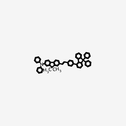 CC1(C)c2cc(/C=C/c3ccc(-c4cccc5c4-c4ccccc4C5(c4ccccc4)c4ccccc4)cc3)ccc2-c2ccc(N(c3ccccc3)c3ccccc3)cc21